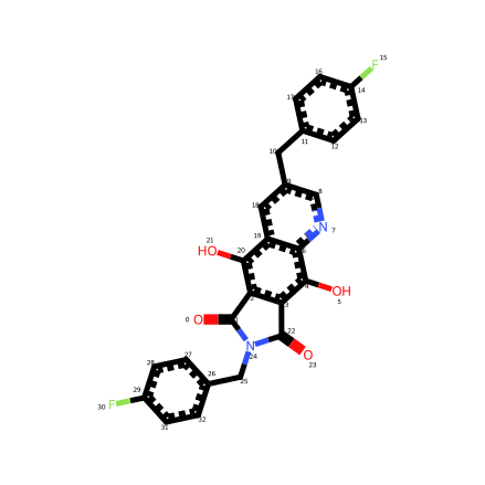 O=C1c2c(c(O)c3ncc(Cc4ccc(F)cc4)cc3c2O)C(=O)N1Cc1ccc(F)cc1